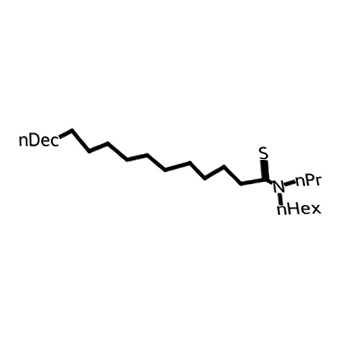 CCCCCCCCCCCCCCCCCCCCC(=S)N(CCC)CCCCCC